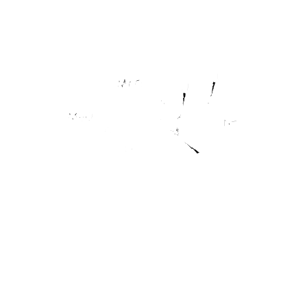 COc1ccc2c(c1OCc1ccccc1)[C@@]13CCN[C@@H](C2)[C@H]1CC(OC)C(=O)C3